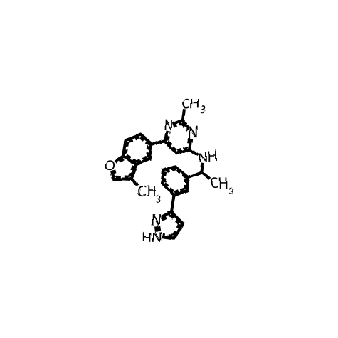 Cc1nc(NC(C)c2cccc(-c3cc[nH]n3)c2)cc(-c2ccc3occ(C)c3c2)n1